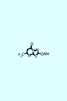 COc1nn2c(=O)cc(C(F)(F)F)nc2s1